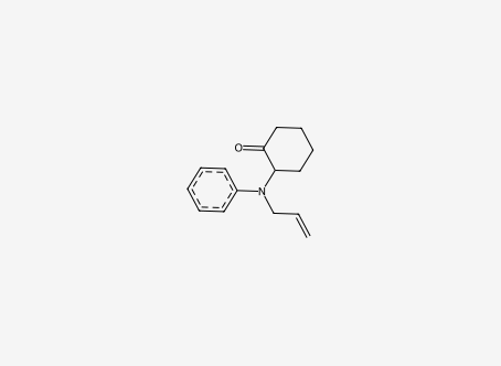 C=CCN(c1ccccc1)C1CCCCC1=O